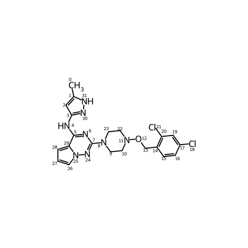 Cc1cc(Nc2nc(N3CCN(OCc4ccc(Cl)cc4Cl)CC3)nn3cccc23)n[nH]1